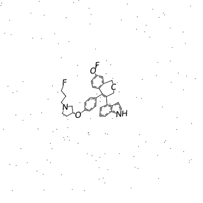 FCCCN1CCC(Oc2ccc(C3=C(c4cccc5[nH]ccc45)CCCc4cc(OF)ccc43)cc2)C1